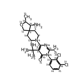 BC(B)(B)c1c(N2CCC3(CC2)CO[C@@H](C)[C@H]3N)nc(C)n(-c2cccc(Cl)c2Cl)c1=O